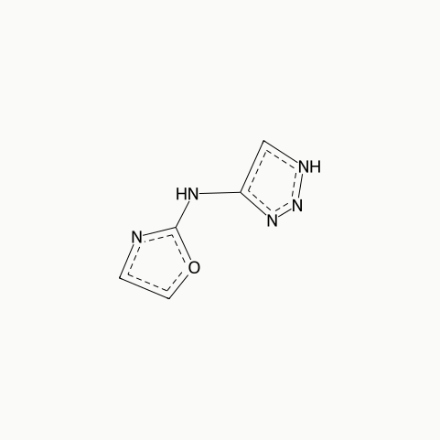 c1coc(Nc2c[nH]nn2)n1